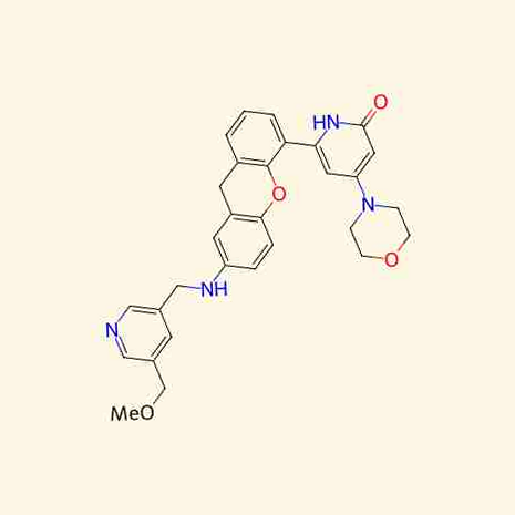 COCc1cncc(CNc2ccc3c(c2)Cc2cccc(-c4cc(N5CCOCC5)cc(=O)[nH]4)c2O3)c1